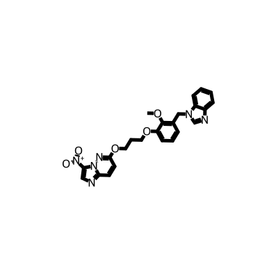 COc1c(Cn2cnc3ccccc32)cccc1OCCCOc1ccc2ncc([N+](=O)[O-])n2n1